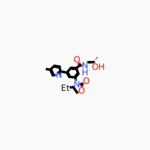 CCC1COC(=O)N1c1cc(C(=O)NC[C@H](C)O)cc(-c2ccc(C)cn2)c1